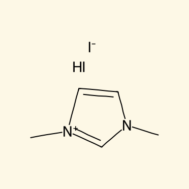 Cn1cc[n+](C)c1.I.[I-]